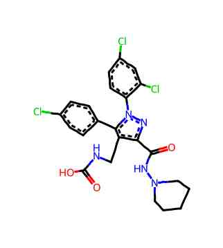 O=C(O)NCc1c(C(=O)NN2CCCCC2)nn(-c2ccc(Cl)cc2Cl)c1-c1ccc(Cl)cc1